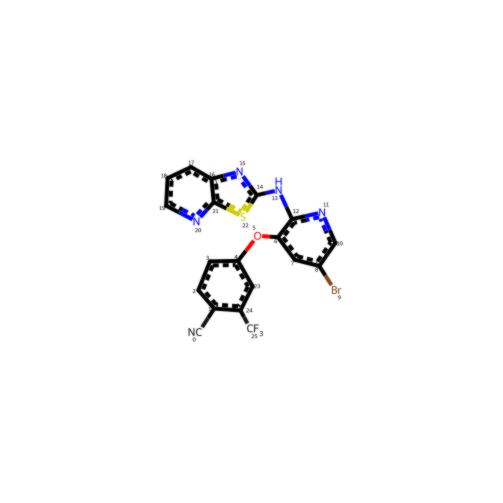 N#Cc1ccc(Oc2cc(Br)cnc2Nc2nc3cccnc3s2)cc1C(F)(F)F